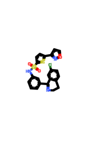 O=S(=O)(Nc1cccc(C2=NCCc3ccc(Cl)cc32)c1)c1ccc(-c2ccon2)s1